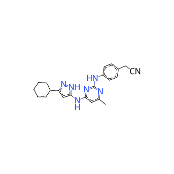 Cc1cc(Nc2cc(C3CCCCC3)n[nH]2)nc(Nc2ccc(CC#N)cc2)n1